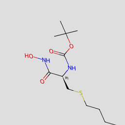 CCCCSC[C@H](NC(=O)OC(C)(C)C)C(=O)NO